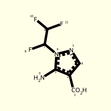 Nc1c(C(=O)O)cnn1C(F)C(F)F